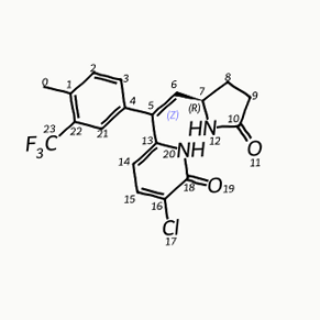 Cc1ccc(/C(=C/[C@H]2CCC(=O)N2)c2ccc(Cl)c(=O)[nH]2)cc1C(F)(F)F